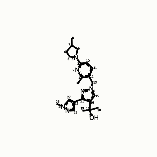 Cc1nc(N2CCC(C)C2)ccc1Cn1cc(C(C)(C)O)c(-c2cnn(C)c2)n1